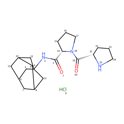 Cl.O=C(NC12CC3CC(CC(C3)C1)C2)[C@@H]1CCCN1C(=O)[C@@H]1CCCN1